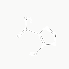 [NH]c1sccc1C(N)=O